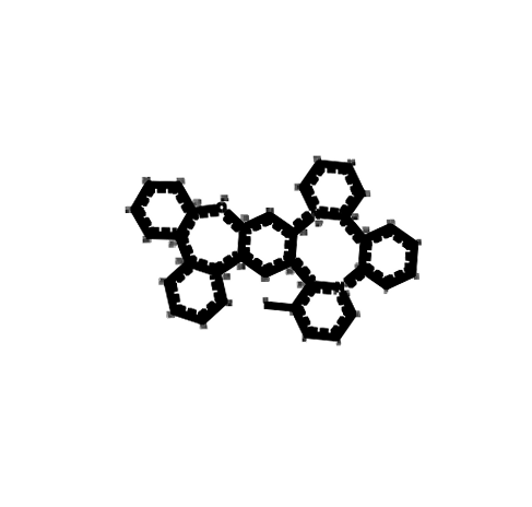 Cc1ccc[n+]2c3ccccc3c3cccc[n+]3c3cc4oc5ccccc5c5ccccc5c4cc3c12